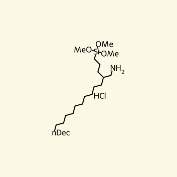 CCCCCCCCCCCCCCCCCCCCC(CN)CCC[Si](OC)(OC)OC.Cl